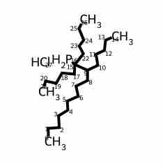 CCCCCCCCCC(CCCCC)C(P)(CCCCC)CCCCC.Cl